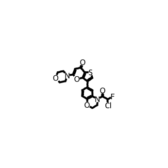 O=C(C(F)Cl)N1CCOc2ccc(-c3csc4c(=O)cc(N5CCOCC5)oc34)cc21